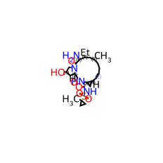 CC[C@@H]1C[C@H](C)CC/C=C\[C@@H]2C[C@@]2(C(=O)NS(=O)(=O)C2(C)CC2)NC(=O)[C@@H]2C[C@@H](O)CN2C(=O)[C@H]1N